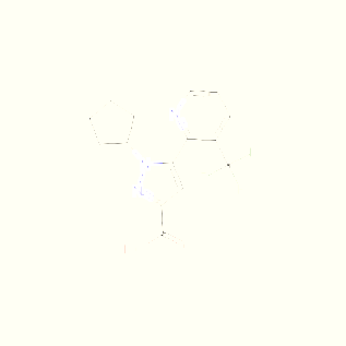 O=C(O)c1cc(-c2ncccc2C(F)(F)F)n(C2CCCC2)n1